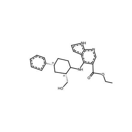 CCOC(=O)c1cnc2[nH]ccc2c1NC1CC[C@@H](c2ccccc2)C[C@H]1CO